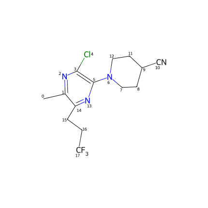 Cc1nc(Cl)c(N2CCC(C#N)CC2)nc1CCC(F)(F)F